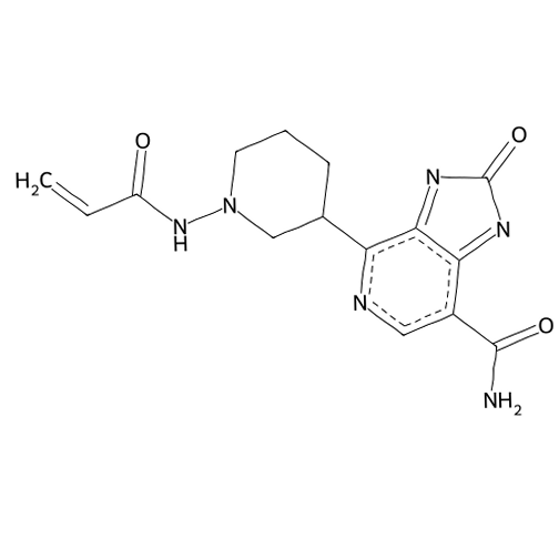 C=CC(=O)NN1CCCC(c2ncc(C(N)=O)c3c2=NC(=O)N=3)C1